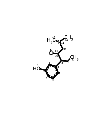 CCC(c1cccc(O)c1)[C@@H](Cl)CN(C)C